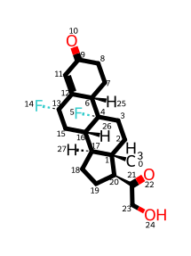 C[C@]12CC[C@]3(F)[C@H]4CCC(=O)C=C4[C@@H](F)C[C@H]3[C@@H]1CC[C@@H]2C(=O)CO